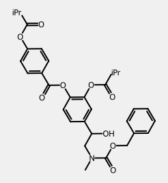 CC(C)C(=O)Oc1ccc(C(=O)Oc2ccc(C(O)CN(C)C(=O)OCc3ccccc3)cc2OC(=O)C(C)C)cc1